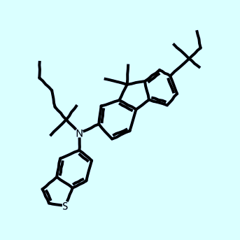 CCCCC(C)(C)N(c1ccc2c(c1)C(C)(C)c1cc(C(C)(C)CC)ccc1-2)c1ccc2sccc2c1